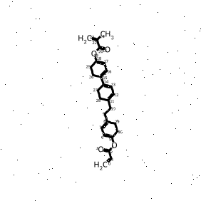 C=CC(=O)OC1=CC=C(CCC2=CC=C(C3=CC=C(OC(=O)C(=C)C)CC3)CC2)CC1